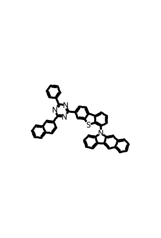 c1ccc(-c2nc(-c3ccc4ccccc4c3)nc(-c3ccc4c(c3)sc3c(-n5c6ccccc6c6cc7ccccc7cc65)cccc34)n2)cc1